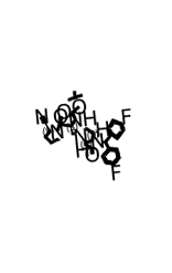 CC(C)(C)OC(=O)N[C@@H](CN1C[C@@H]2C[C@H]1C(=O)N2C(c1ccc(F)cc1)c1ccc(F)cc1)C(=O)N1CCC[C@H]1C#N